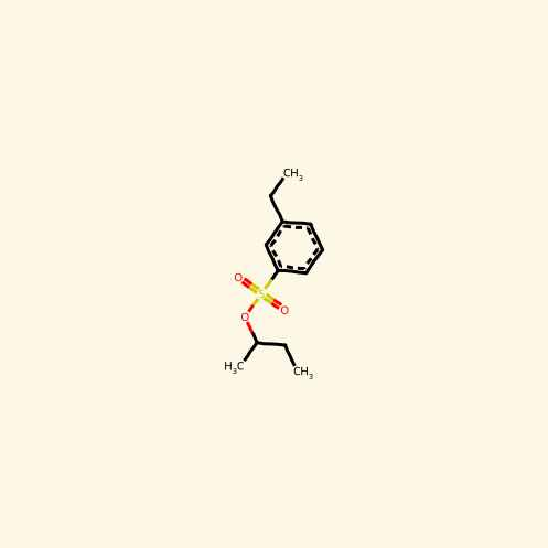 CCc1cccc(S(=O)(=O)OC(C)CC)c1